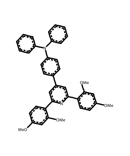 COc1ccc(-c2cc(-c3ccc(N(c4ccccc4)c4ccccc4)cc3)cc(-c3ccc(OC)cc3OC)n2)c(OC)c1